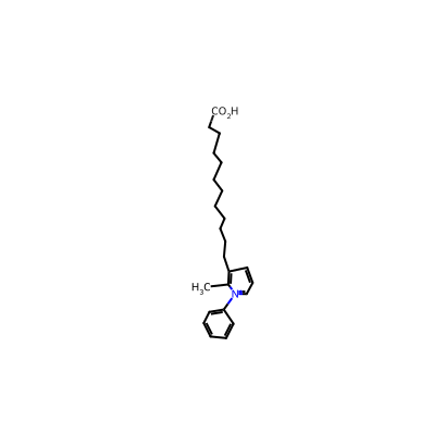 Cc1c(CCCCCCCCCCCC(=O)O)ccc[n+]1-c1ccccc1